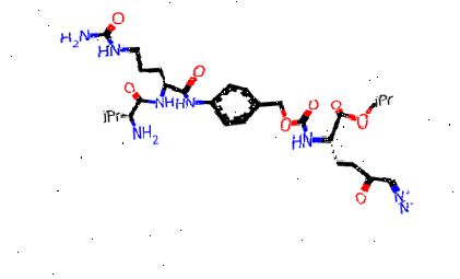 CC(C)OC(=O)[C@H](CCC(=O)C=[N+]=[N-])NC(=O)OCc1ccc(NC(=O)[C@H](CCCNC(N)=O)NC(=O)[C@@H](N)C(C)C)cc1